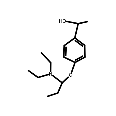 CCC(Oc1ccc(C(C)O)cc1)N(CC)CC